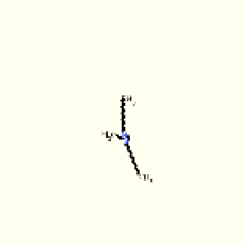 CCCCCCCCCCCCN1C=CN(CCCCCCCCCCCC)C1CCC